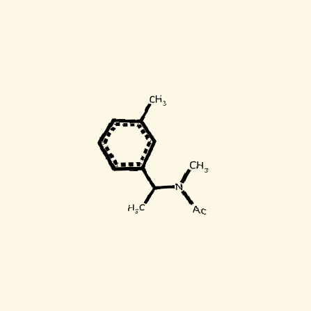 CC(=O)N(C)C(C)c1cccc(C)c1